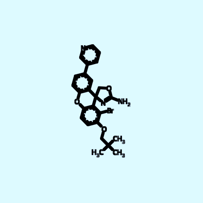 CC(C)(C)COc1ccc2c(c1Br)C1(COC(N)=N1)c1cc(-c3cccnc3)ccc1O2